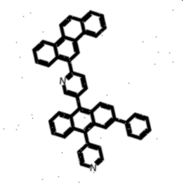 c1ccc(-c2ccc3c(-c4ccc(-c5cc6c7ccccc7ccc6c6ccccc56)nc4)c4ccccc4c(-c4ccncc4)c3c2)cc1